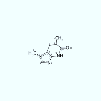 CC1Cc2c(ncn2C)NC1=O